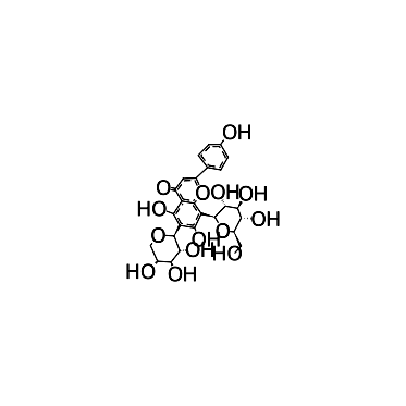 O=c1cc(-c2ccc(O)cc2)oc2c([C@@H]3O[C@H](CO)[C@@H](O)[C@H](O)[C@H]3O)c(O)c([C@@H]3OC[C@H](O)[C@H](O)[C@H]3O)c(O)c12